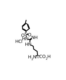 Cc1ccc(S(=O)(=O)NC(=N)NCCC[C@H](N)C(=O)O)cc1.Cl